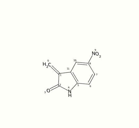 C=C1C(=O)Nc2ccc([N+](=O)[O-])cc21